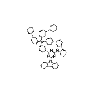 c1ccc(-c2cccc(S(c3ccccc3)(c3cccc(-c4ccccc4)c3)c3cccc(-c4nc(-n5c6ccccc6c6ccccc65)nc(-n5c6ccccc6c6ccccc65)n4)c3)c2)cc1